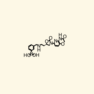 O=C1COc2ccc(N3C[C@@H](CCNCc4cccc(B(O)O)c4)OC3=O)nc2N1